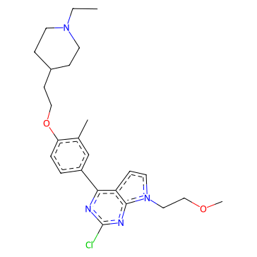 CCN1CCC(CCOc2ccc(-c3nc(Cl)nc4c3ccn4CCOC)cc2C)CC1